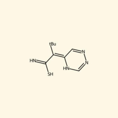 CC(C)(C)/C(C(=N)S)=C1\C=NN=CN1